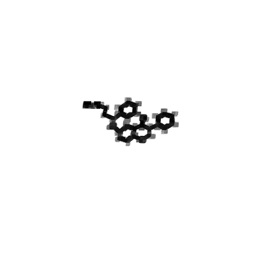 CNCCC(Oc1ccc2c(c1)C(=O)C(c1ccccc1)CO2)c1ccccc1